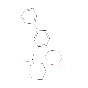 C1CC[SiH2]OC1.C[Si]1(C)CCCCO1.c1ccc(-c2ccccc2)cc1